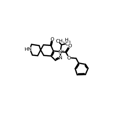 CC(C)[N+]1(C(=O)OCc2ccccc2)N=CC2=C1C(=O)CC1(CCNCC1)C2